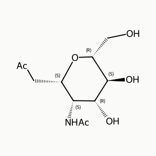 CC(=O)C[C@@H]1O[C@H](CO)[C@@H](O)[C@H](O)[C@@H]1NC(C)=O